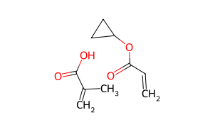 C=C(C)C(=O)O.C=CC(=O)OC1CC1